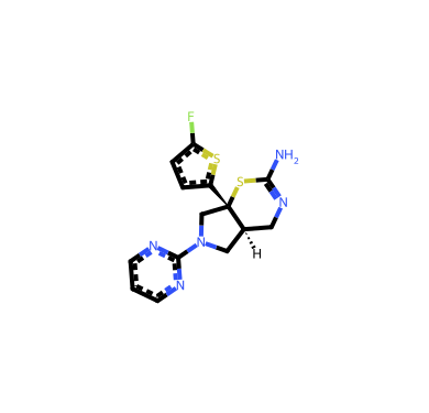 NC1=NC[C@H]2CN(c3ncccn3)C[C@]2(c2ccc(F)s2)S1